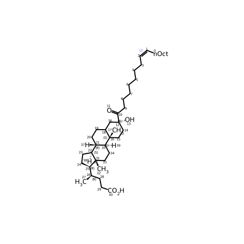 CCCCCCCC/C=C\CCCCCCCC(=O)[C@@]1(O)CC[C@@]2(C)C(CC[C@H]3[C@@H]4CC[C@H]([C@H](C)CCC(=O)O)[C@@]4(C)CC[C@@H]32)C1